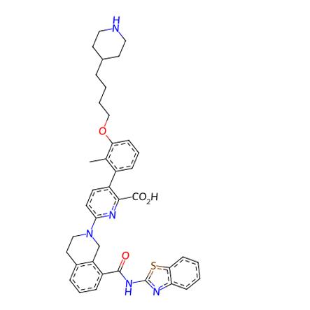 Cc1c(OCCCCC2CCNCC2)cccc1-c1ccc(N2CCc3cccc(C(=O)Nc4nc5ccccc5s4)c3C2)nc1C(=O)O